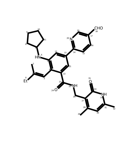 CC/C(C)=C/c1c(NC2CCCC2)cc(-c2ccc(C=O)cn2)cc1C(=O)NCc1c(C)cc(C)[nH]c1=O